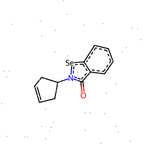 O=c1c2ccccc2[se]n1C1CC=CC1